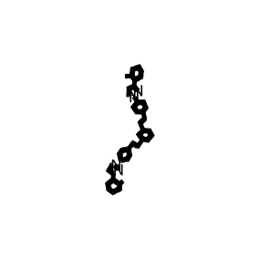 Cc1ccccc1-c1ccn(-c2ccc(C=Cc3cccc(C=Cc4ccc(-n5ccc(-c6ccccc6C)n5)cc4)c3)cc2)n1